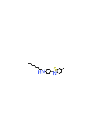 CCCCCCCCNc1ccc(-c2nc3ccc(C)cc3s2)cc1